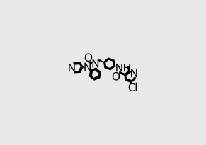 Cc1ncc(Cl)cc1C(=O)N[C@H]1CC[C@H](Cn2c(=O)n(-c3ccncc3)c3ccccc32)CC1